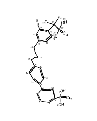 O=P(O)(O)c1cccc(-c2ccc(CSCc3ccc(C(F)(F)P(=O)(O)O)c(Br)c3)cc2)c1